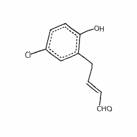 O=CC=CCc1cc(Cl)ccc1O